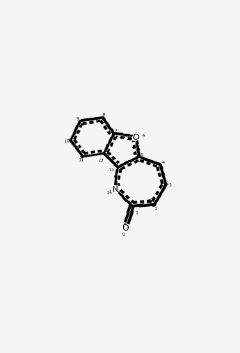 O=c1cccc2oc3ccccc3c2n1